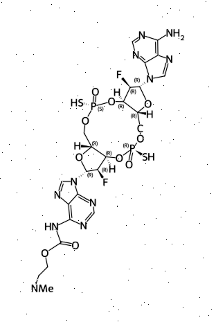 CNCCOC(=O)Nc1ncnc2c1ncn2[C@@H]1O[C@@H]2CO[P@](=O)(S)O[C@H]3[C@@H](F)[C@H](n4cnc5c(N)ncnc54)O[C@@H]3CO[P@@](=O)(S)O[C@H]2[C@H]1F